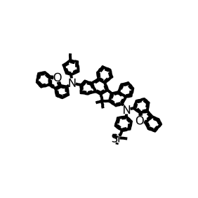 Cc1ccc(N(c2ccc3c4c(c5ccccc5c3c2)-c2c(cc(N(c3ccc([Si](C)(C)C)cc3)c3cccc5c3oc3ccccc35)c3ccccc23)C4(C)C)c2cccc3c2oc2ccccc23)cc1